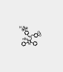 CCCCn1c(-c2ccccc2)nc(-c2ccccc2)c1CN(Cc1ccc(S(N)(=O)=O)cc1)Cc1ccc2c(c1)OCO2